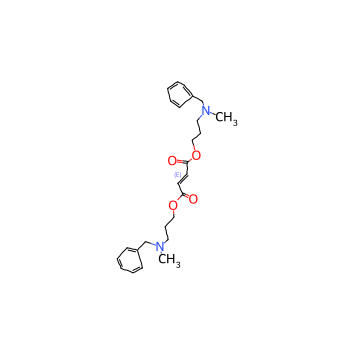 CN(CCCOC(=O)/C=C/C(=O)OCCCN(C)Cc1ccccc1)Cc1ccccc1